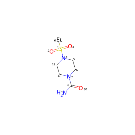 CCS(=O)(=O)N1CCN(C(N)=O)CC1